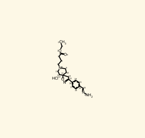 CCOC(=O)CCCN1CCC2(CC1)CC(c1ccc(C=NN)cc1)=NO2.Cl